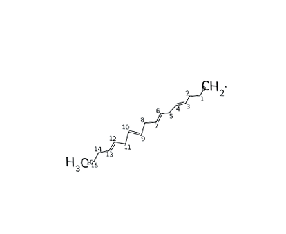 [CH2]CCC=CCC=CCC=CCC=CCCC